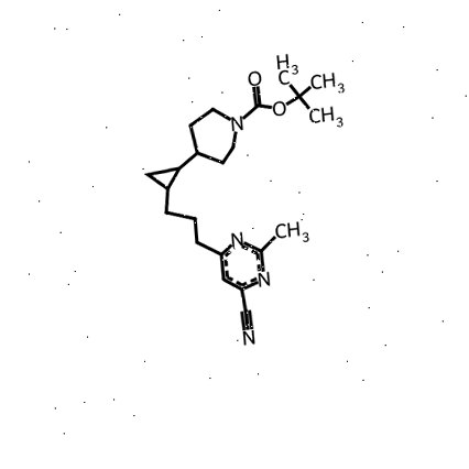 Cc1nc(C#N)cc(CCCC2CC2C2CCN(C(=O)OC(C)(C)C)CC2)n1